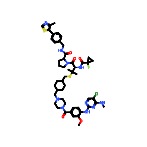 CNc1nc(Nc2ccc(C(=O)N3CCN(CC4CCC(CSC(C)(C)[C@H](NC(=O)C5(F)CC5)C(=O)N5CCCC5C(=O)NCc5ccc(-c6scnc6C)cc5)CC4)CC3)cc2OC)ncc1Cl